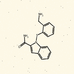 NCc1ccccc1Sn1c(C(N)=O)cc2ccccc21